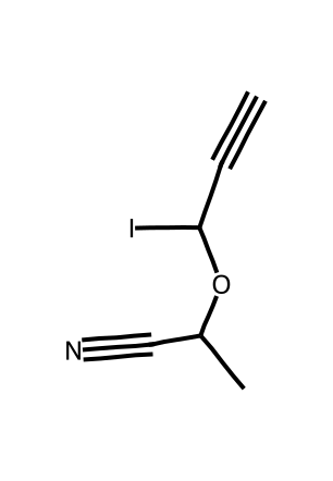 C#CC(I)OC(C)C#N